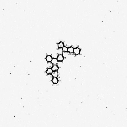 c1cc(-c2ccccc2-c2ccc3c4c(cccc24)-c2ccccc2O3)cc(-n2c3ccccc3c3cc4ccccc4cc32)c1